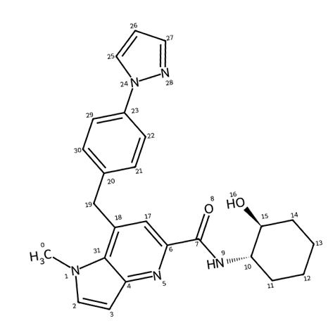 Cn1ccc2nc(C(=O)N[C@H]3CCCC[C@@H]3O)cc(Cc3ccc(-n4cccn4)cc3)c21